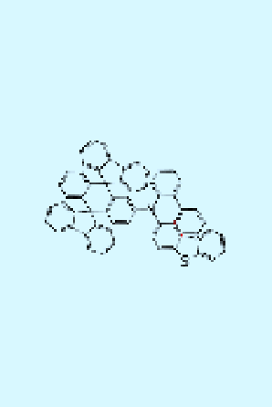 c1ccc(-c2ccccc2N(c2ccc3c(c2)C2(c4ccccc4-c4ccccc42)c2ccccc2C32c3ccccc3-c3ccccc32)c2ccc3sc4ccccc4c3c2)cc1